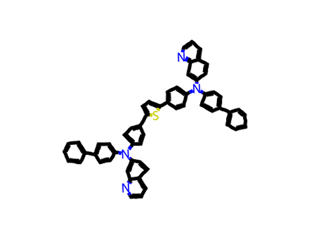 c1ccc(-c2ccc(N(c3ccc(-c4ccc(-c5ccc(N(c6ccc(-c7ccccc7)cc6)c6ccc7cccnc7c6)cc5)s4)cc3)c3ccc4cccnc4c3)cc2)cc1